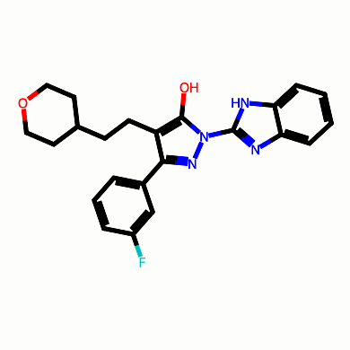 Oc1c(CCC2CCOCC2)c(-c2cccc(F)c2)nn1-c1nc2ccccc2[nH]1